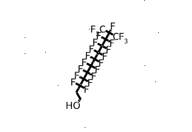 OCCC(F)(F)C(F)(F)C(F)(F)C(F)(F)C(F)(F)C(F)(F)C(F)(F)C(F)(F)C(F)(C(F)(F)F)C(F)(F)F